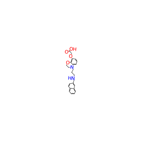 O=C(O)COc1cccc2c1OCCN2CCCNCc1ccc2ccccc2c1